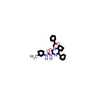 Cc1cccc(NC(=O)NC2N=C(c3ccccc3)c3ccccc3N(CC(=O)c3ccccc3)C2=O)c1